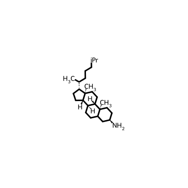 CC(C)CCCC(C)[C@H]1CC[C@H]2[C@@H]3CCC4C[C@H](N)CC[C@]4(C)[C@H]3CC[C@]12C